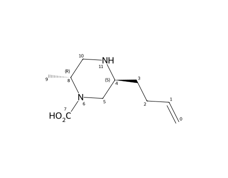 C=CCC[C@H]1CN(C(=O)O)[C@H](C)CN1